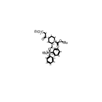 CCOC(=O)CC(=O)[C@@H]1CCN(C(=O)OC(C)(C)C)[C@@H](CO[Si](c2ccccc2)(c2ccccc2)C(C)(C)C)C1